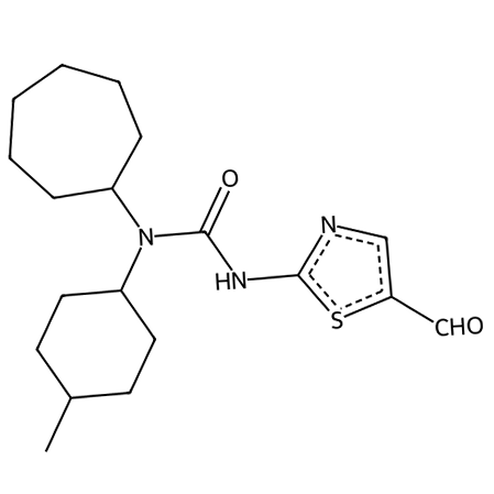 CC1CCC(N(C(=O)Nc2ncc(C=O)s2)C2CCCCCC2)CC1